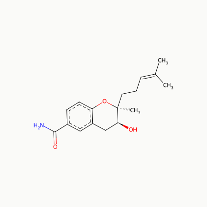 CC(C)=CCC[C@]1(C)Oc2ccc(C(N)=O)cc2C[C@@H]1O